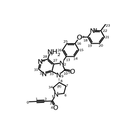 CC#CC(=O)N1CC[C@@H](n2c(=O)n(-c3ccc(Oc4cccc(C)n4)cc3)c3c(N)ncnc32)C1